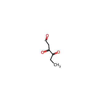 CCC(=O)C(=O)C[C]=O